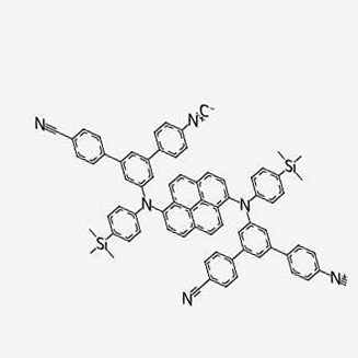 [C-]#[N+]c1ccc(-c2cc(-c3ccc(C#N)cc3)cc(N(c3ccc([Si](C)(C)C)cc3)c3ccc4ccc5c(N(c6ccc([Si](C)(C)C)cc6)c6cc(-c7ccc(C#N)cc7)cc(-c7ccc([N+]#[C-])cc7)c6)ccc6ccc3c4c65)c2)cc1